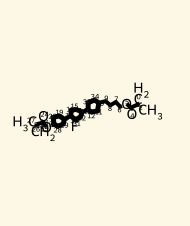 C=C(C)C(=O)OCCCCc1ccc(-c2ccc(-c3ccc(OC(=O)C(=C)C)cc3)c(F)c2)cc1